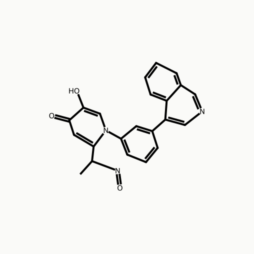 CC(N=O)c1cc(=O)c(O)cn1-c1cccc(-c2cncc3ccccc23)c1